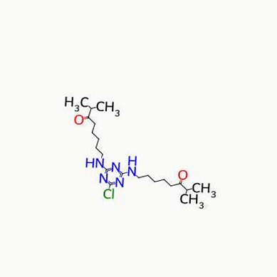 CC(C)C(=O)CCCCCNc1nc(Cl)nc(NCCCCCC(=O)C(C)C)n1